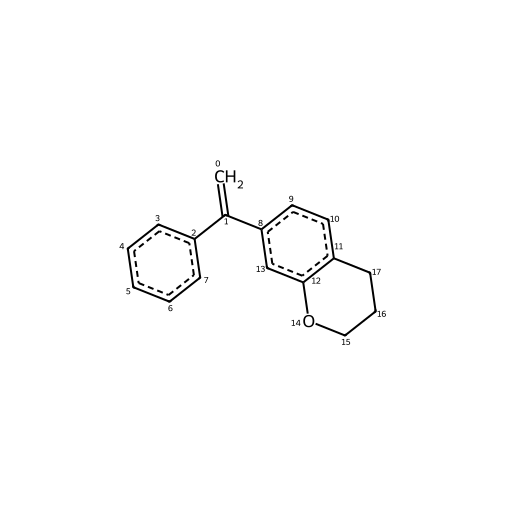 C=C(c1ccccc1)c1ccc2c(c1)OCCC2